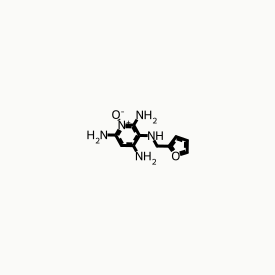 Nc1cc(N)[n+]([O-])c(N)c1NCc1ccco1